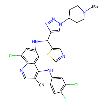 CC(C)(C)N1CCC(n2cc(C(Nc3cc(Cl)c4ncc(C#N)c(Nc5ccc(F)c(Cl)c5)c4c3)c3cncs3)nn2)CC1